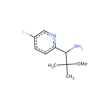 COC(C)(C)C(N)c1ccc(F)cn1